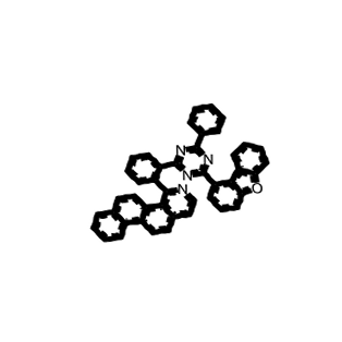 c1ccc(-c2nc(-c3ccccc3-c3nccc4ccc5c6ccccc6ccc5c34)nc(-c3cccc4oc5ccccc5c34)n2)cc1